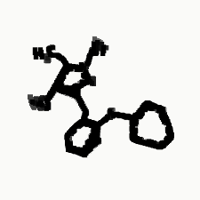 Cc1c(O)c(-c2ccccc2Sc2ccccc2)nn1C(C)C